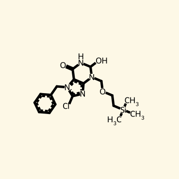 C[Si](C)(C)CCOCN1c2nc(Cl)n(Cc3ccccc3)c2C(=O)NC1O